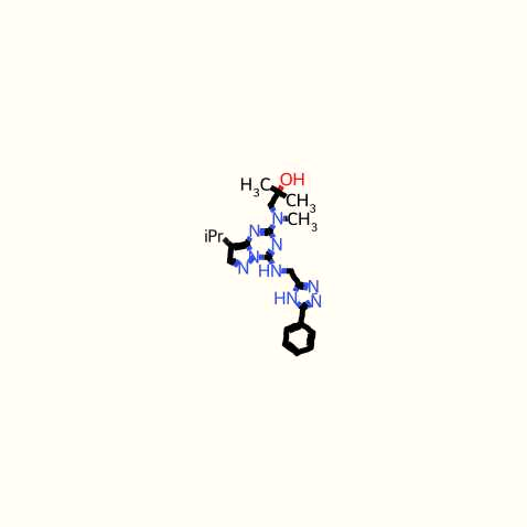 CC(C)c1cnn2c(NCc3nnc(-c4ccccc4)[nH]3)nc(N(C)CC(C)(C)O)nc12